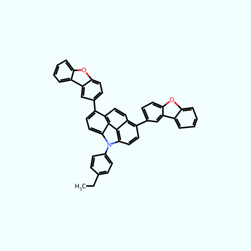 CCc1ccc(-n2c3ccc(-c4ccc5oc6ccccc6c5c4)c4ccc5c(-c6ccc7oc8ccccc8c7c6)ccc2c5c43)cc1